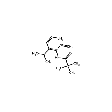 C=N/C(NC(=O)C(C)(C)C)=C(\C=C/C)C(C)C